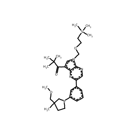 COCC1(C)CCN(c2cccc(-c3cnc4c(n3)c(C(=O)C(C)(C)C)cn4COCC[Si](C)(C)C)c2)C1